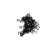 CC[C@H](C)C(C(CC(=O)N1CCC[C@H]1[C@H](OC)[C@@H](C)C(=O)NC(Cc1ccccc1)C(=O)O)OC)N(C)C(=O)[C@@H](NC(=O)[C@H](C(C)C)N(C)C(=O)OCc1ccc(NC(=O)[C@H](C)NC(=O)[C@@H](NC(=O)CC2OC(CN=[N+]=[N-])C3OC(C)(C)OC23)C(C)C)cc1)C(C)C